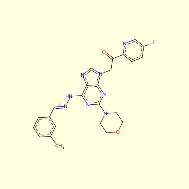 Cc1cccc(/C=N/Nc2nc(N3CCOCC3)nc3c2ncn3CC(=O)c2ccc(F)cn2)c1